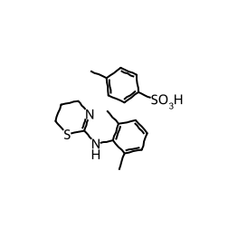 Cc1ccc(S(=O)(=O)O)cc1.Cc1cccc(C)c1NC1=NCCCS1